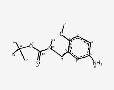 COc1ccc(N)cc1CN(C)C(=O)OC(C)(C)C